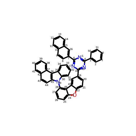 c1ccc(-c2nc(-c3ccc4ccccc4c3)nc(-c3ccc4oc5cccc(-n6c7ccccc7c7c8ccccc8ccc76)c5c4c3)n2)cc1